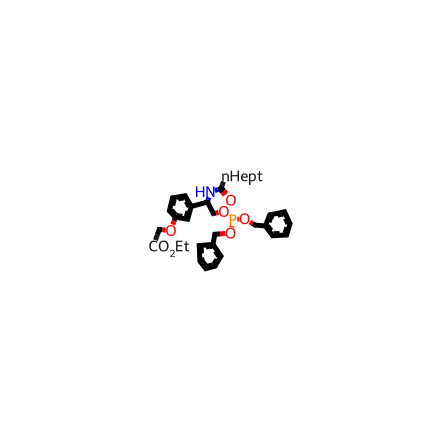 CCCCCCCC(=O)NC(COP(OCc1ccccc1)OCc1ccccc1)c1cccc(OCC(=O)OCC)c1